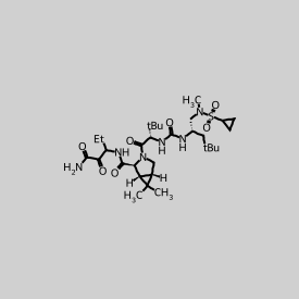 CCC(NC(=O)[C@@H]1[C@@H]2[C@H](CN1C(=O)[C@@H](NC(=O)N[C@H](CN(C)S(=O)(=O)C1CC1)CC(C)(C)C)C(C)(C)C)C2(C)C)C(=O)C(N)=O